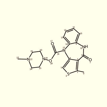 Cc1scc2c1C(=O)Nc1ccccc1N2C(=O)ON1CCN(C)CC1